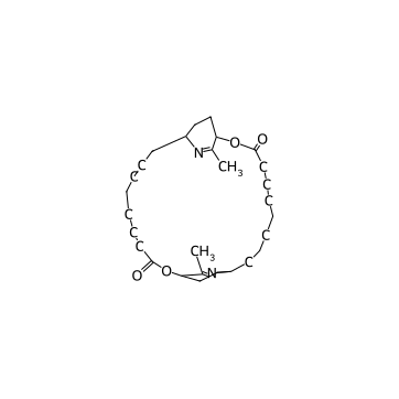 CC1=NC2CCCCCCCC(=O)OC3CCC(CCCCCCCC(=O)OC1CC2)N=C3C